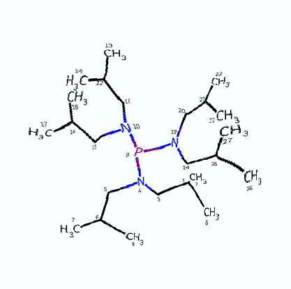 CC(C)CN(CC(C)C)P(N(CC(C)C)CC(C)C)N(CC(C)C)CC(C)C